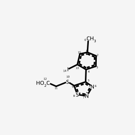 Cc1ccc(-c2nnsc2SCC(=O)O)c(I)c1